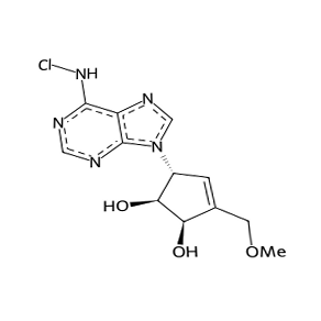 COCC1=C[C@@H](n2cnc3c(NCl)ncnc32)[C@H](O)[C@@H]1O